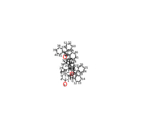 C[C@@H]1C(=O)CC[C@]2(CO[Si](c3ccccc3)(c3ccccc3)c3ccccc3)[C@H]3CC[C@]4(C)[C@@H](O[Si](c5ccccc5)(c5ccccc5)c5ccccc5)CC[C@H]4[C@@H]3CC[C@@H]12